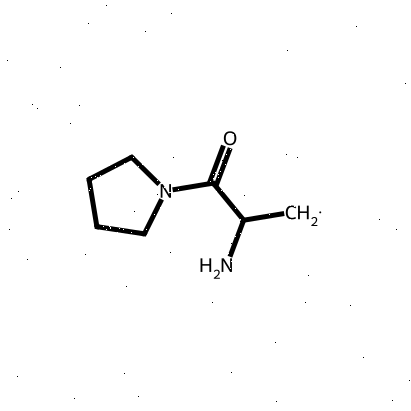 [CH2]C(N)C(=O)N1CCCC1